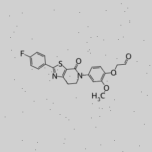 COc1cc(N2CCc3nc(-c4ccc(F)cc4)sc3C2=O)ccc1OCC=O